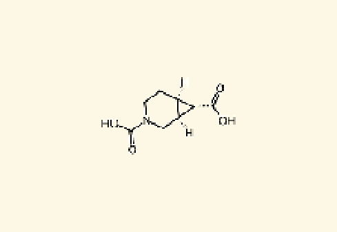 O=C(O)[C@H]1[C@@H]2CCN(C(=O)O)C[C@@H]21